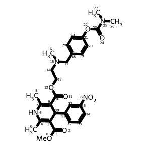 COC(=O)C1=C(C)NC(C)=C(C(=O)OCCN(C)Cc2ccc(OC(=O)N(C)C)cc2)C1c1cccc([N+](=O)[O-])c1